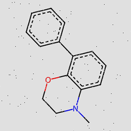 CN1CCOc2c(-c3ccccc3)cccc21